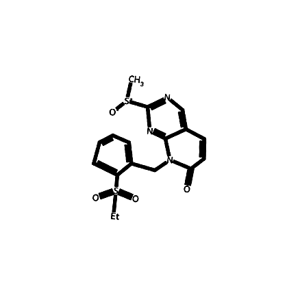 CCS(=O)(=O)c1ccccc1Cn1c(=O)ccc2cnc([S+](C)[O-])nc21